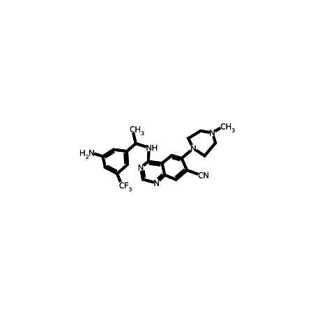 CC(Nc1ncnc2cc(C#N)c(N3CCN(C)CC3)cc12)c1cc(N)cc(C(F)(F)F)c1